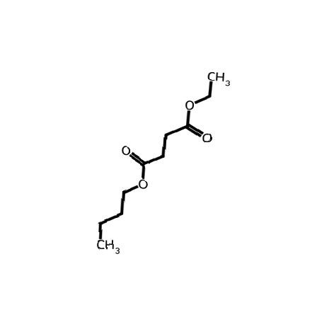 CCCCOC(=O)CCC(=O)OCC